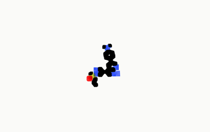 C=S(=O)(CCC)n1cc(-c2c[nH]c3ncc(-c4ccc(N(C)C)cc4)cc23)cn1